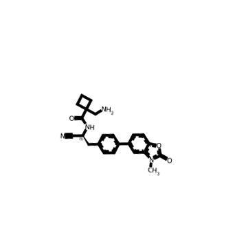 Cn1c(=O)oc2ccc(-c3ccc(C[C@@H](C#N)NC(=O)C4(CN)CCC4)cc3)cc21